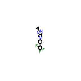 Fc1cc(F)c(C2[CH]CC(N3Cc4cnc(C5CC5)nc4C3)CC2)cc1F